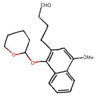 COc1cc(CCCC=O)c(OC2CCCCO2)c2ccccc12